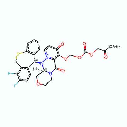 COC(=O)COC(=O)OCOc1c2n(ccc1=O)N([C@@H]1c3ccccc3SCc3c1ccc(F)c3F)[C@@H]1COCCN1C2=O